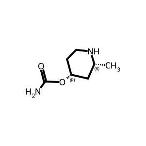 C[C@@H]1C[C@H](OC(N)=O)CCN1